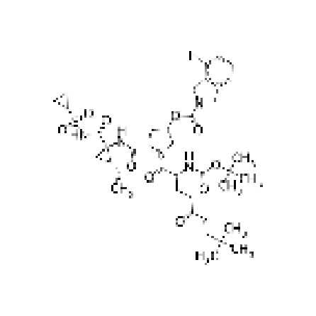 C=C[C@@H]1C[C@]1(NC(=O)[C@@H]1CC(OC(=O)N2Cc3cccc(F)c3C2)CN1C(=O)[C@H](CCC(=O)/C=C/C(C)(C)C)NC(=O)OC(C)(C)C)C(=O)NS(=O)(=O)C1CC1